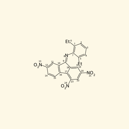 CCc1cccc(CC)c1/N=C1/c2cc([N+](=O)[O-])ccc2-c2c1cc([N+](=O)[O-])cc2[N+](=O)[O-]